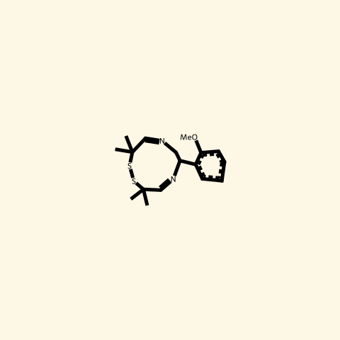 COc1ccccc1C1CN=CC(C)(C)SSC(C)(C)C=N1